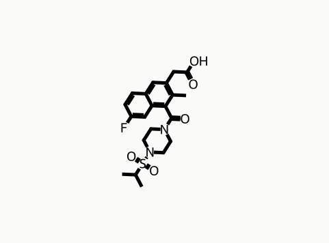 Cc1c(CC(=O)O)cc2ccc(F)cc2c1C(=O)N1CCN(S(=O)(=O)C(C)C)CC1